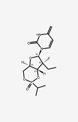 C=C1C=CN([C@@H]2O[C@@H]3COP(=O)(C(C)C)O[C@H]3[C@]2(F)CC)C(=O)N1